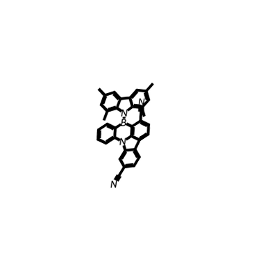 Cc1cc(C)c2c(c1)c1cc(C)cc(C)c1n2B1c2ccccc2-n2c3cc(C#N)ccc3c3ccc(C#N)c1c32